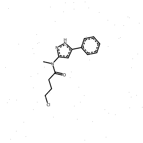 CN(C(=O)CCCCl)c1cc(-c2ccccc2)[nH]n1